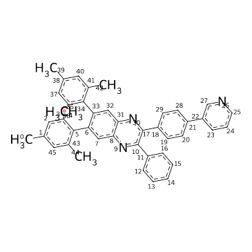 Cc1cc(C)c(-c2cc3nc(-c4ccccc4)c(-c4ccc(-c5cccnc5)cc4)nc3cc2-c2c(C)cc(C)cc2C)c(C)c1